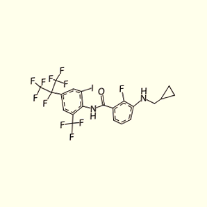 O=C(Nc1c(I)cc(C(F)(C(F)(F)F)C(F)(F)F)cc1C(F)(F)F)c1cccc(NCC2CC2)c1F